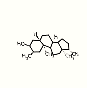 C[C@@H]1C[C@]2(C)C3CC[C@@]4(C)C(CC[C@@H]4C#N)[C@@H]3CC[C@H]2C[C@@H]1O